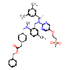 CCN(C[C@H]1CC[C@H](CC(=O)OCc2ccccc2)CC1)c1ccc(C(F)(F)F)cc1CN(c1ncc(OCCS(C)(=O)=O)cn1)[C@@H](C)c1cc(C(F)(F)F)cc(C(F)(F)F)c1